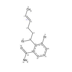 C/C=C/CCC(CC)c1c(CC)cccc1C(N)=O